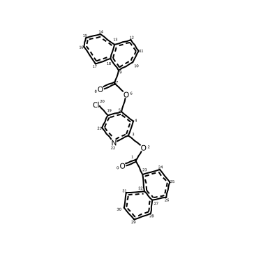 O=C(Oc1cc(OC(=O)c2cccc3ccccc23)c(Cl)cn1)c1cccc2ccccc12